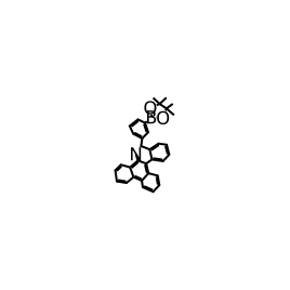 CC1(C)OB(c2cccc(-c3nc4c5ccccc5c5ccccc5c4c4ccccc34)c2)OC1(C)C